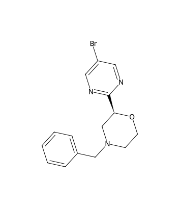 Brc1cnc([C@@H]2CN(Cc3ccccc3)CCO2)nc1